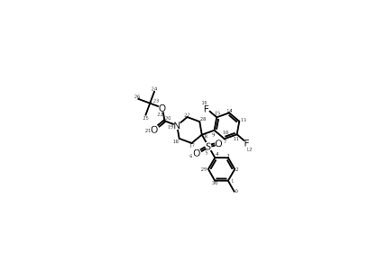 Cc1ccc(S(=O)(=O)C2(c3cc(F)ccc3F)CCN(C(=O)OC(C)(C)C)CC2)cc1